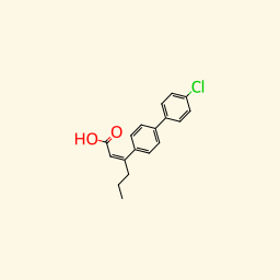 CCC/C(=C/C(=O)O)c1ccc(-c2ccc(Cl)cc2)cc1